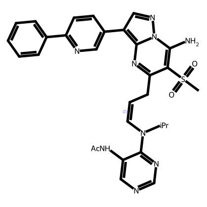 CC(=O)Nc1cncnc1N(/C=C\Cc1nc2c(-c3ccc(-c4ccccc4)nc3)cnn2c(N)c1S(C)(=O)=O)C(C)C